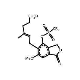 CCOC(=O)CC/C(C)=C/Cc1c(OC)cc2c(c1OS(=O)(=O)C(F)(F)F)COC2=O